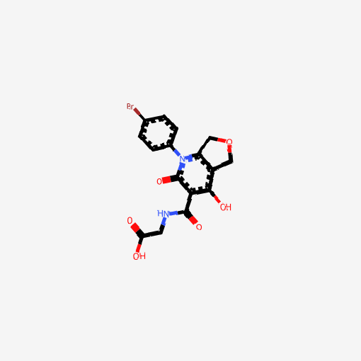 O=C(O)CNC(=O)c1c(O)c2c(n(-c3ccc(Br)cc3)c1=O)COC2